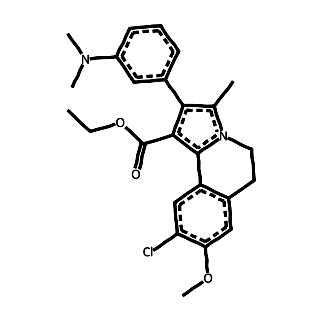 CCOC(=O)c1c(-c2cccc(N(C)C)c2)c(C)n2c1-c1cc(Cl)c(OC)cc1CC2